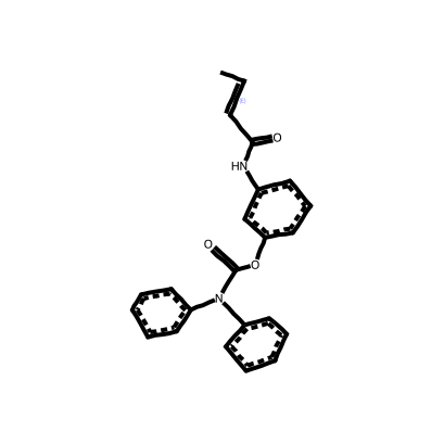 C/C=C/C(=O)Nc1cccc(OC(=O)N(c2ccccc2)c2ccccc2)c1